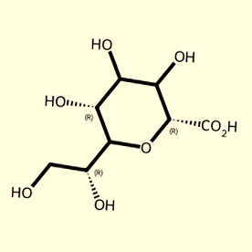 O=C(O)[C@@H]1OC([C@H](O)CO)[C@H](O)C(O)C1O